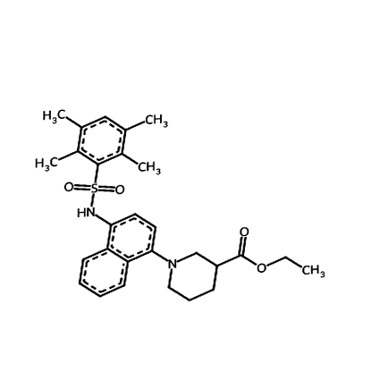 CCOC(=O)C1CCCN(c2ccc(NS(=O)(=O)c3c(C)c(C)cc(C)c3C)c3ccccc23)C1